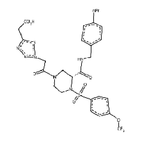 CCCc1ccc(CNC(=O)[C@H]2CN(C(=O)Cn3nnc(CC(=O)O)n3)CCN2S(=O)(=O)c2ccc(OC(F)(F)F)cc2)cc1